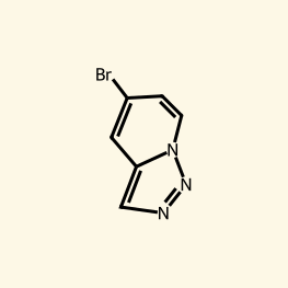 Brc1ccn2nncc2c1